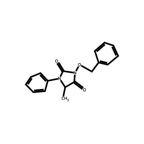 CC1C(=O)N(OCc2ccccc2)C(=O)N1c1ccccc1